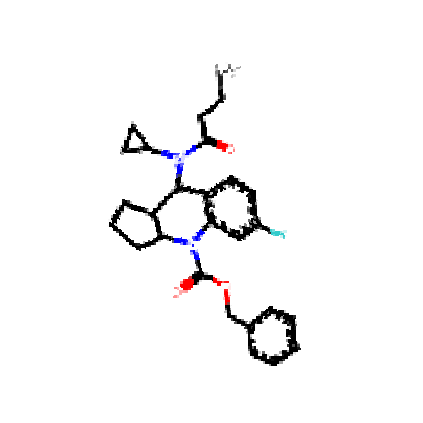 O=C(O)CCC(=O)N(C1CC1)C1c2ccc(F)cc2N(C(=O)OCc2ccccc2)C2CCCC21